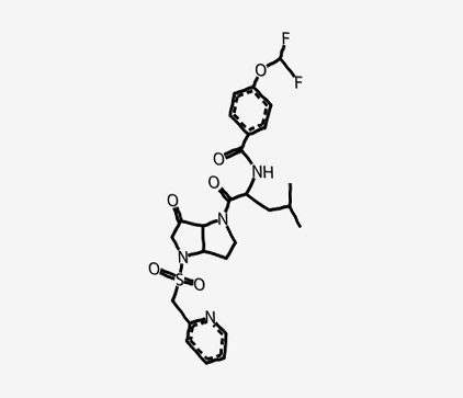 CC(C)CC(NC(=O)c1ccc(OC(F)F)cc1)C(=O)N1CCC2C1C(=O)CN2S(=O)(=O)Cc1ccccn1